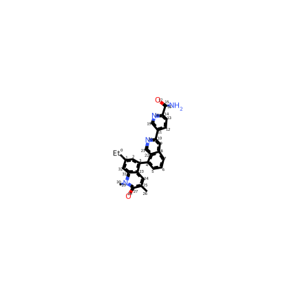 CCc1cc(-c2cccc3cc(-c4ccc(C(N)=O)nc4)ncc23)c2cc(C)c(=O)n(C)c2c1